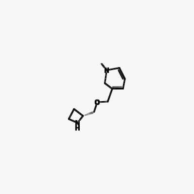 CN1C=CC=C(COC[C@H]2CCN2)C1